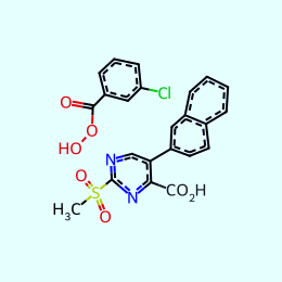 CS(=O)(=O)c1ncc(-c2ccc3ccccc3c2)c(C(=O)O)n1.O=C(OO)c1cccc(Cl)c1